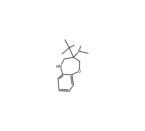 CN(C)C1(C(C)(C)C)CNc2ccccc2OC1